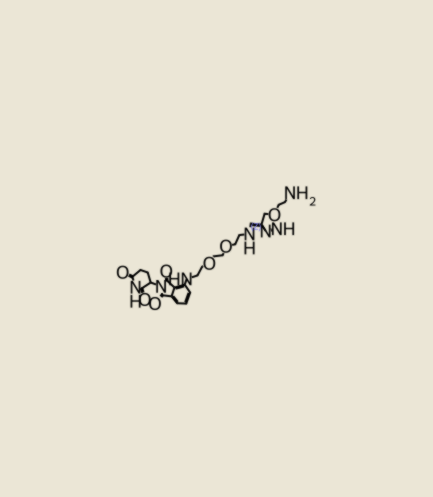 N=N/C(=C\NCCOCCOCCNc1cccc2c1C(=O)N(C1CCC(=O)NC1=O)C2=O)COCCN